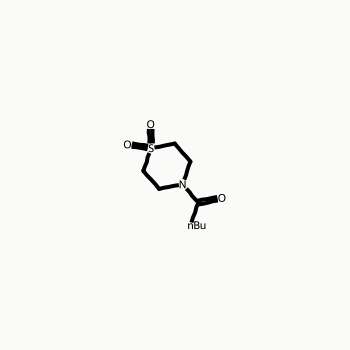 CCCCC(=O)N1CCS(=O)(=O)CC1